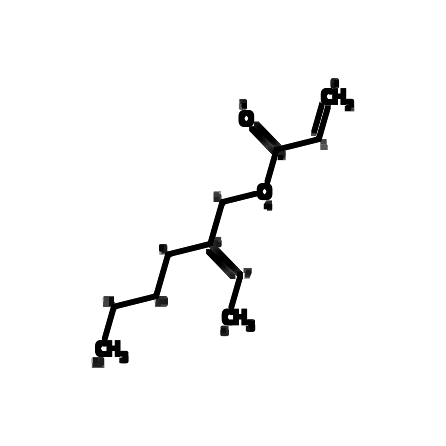 C=CC(=O)OCC(=CC)CCCC